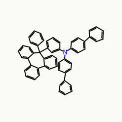 c1ccc(-c2ccc(N(c3ccc(-c4ccccc4)cc3)c3cccc(C4(c5ccccc5)c5ccccc5-c5ccccc5-c5ccccc54)c3)cc2)cc1